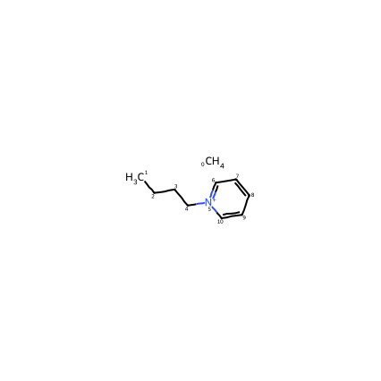 C.CCCC[n+]1ccccc1